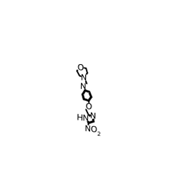 O=[N+]([O-])c1cnc(COc2ccc(N=CN3CCOCC3)cc2)[nH]1